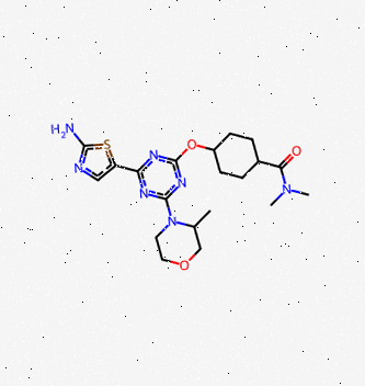 CC1COCCN1c1nc(OC2CCC(C(=O)N(C)C)CC2)nc(-c2cnc(N)s2)n1